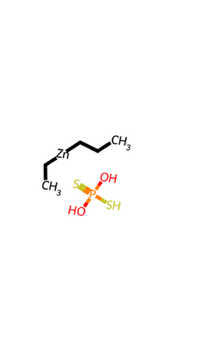 CC[CH2][Zn][CH2]C.OP(O)(=S)S